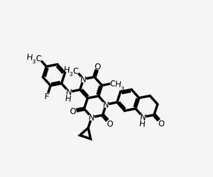 Cc1ccc(Nc2c3c(=O)n(C4CC4)c(=O)n(-c4ccc5c(c4)NC(=O)CC5)c3c(C)c(=O)n2C)c(F)c1